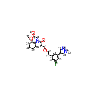 COC(CN(C(=O)CCOCCc1cc(F)cc(C2C=NN(C)C2)c1)C1CCCCC1)OC